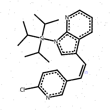 CC(C)[Si](C(C)C)(C(C)C)n1cc(/C=C\c2ccc(Cl)nc2)c2cccnc21